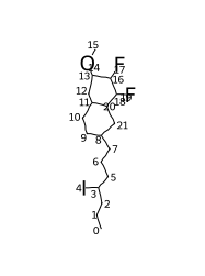 CCCC(I)CCCC1CCC2CC(OC)C(F)C(F)C2C1